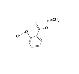 C=COC(=O)c1ccccc1OCl